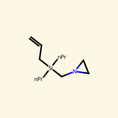 C=CC[Si](CCC)(CCC)CN1CC1